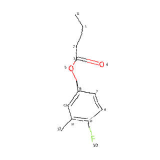 CCCC(=O)Oc1ccc(F)c(C)c1